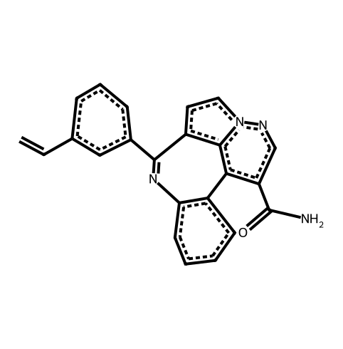 C=Cc1cccc(C2=Nc3ccccc3-c3c(C(N)=O)cnn4ccc2c34)c1